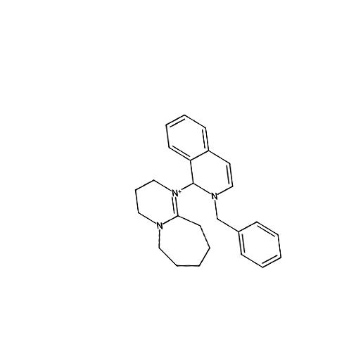 C1=CN(Cc2ccccc2)C([N+]2=C3CCCCCN3CCC2)c2ccccc21